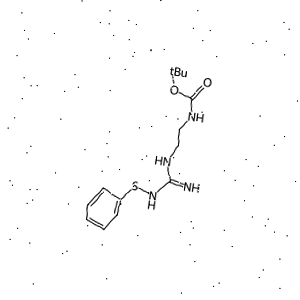 CC(C)(C)OC(=O)NCCNC(=N)NSc1ccccc1